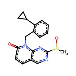 C[S+]([O-])c1ncc2ccc(=O)n(Cc3ccccc3C3CC3)c2n1